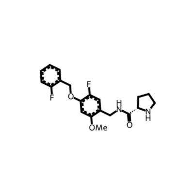 COc1cc(OCc2ccccc2F)c(F)cc1CNC(=O)[C@@H]1CCCN1